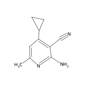 Cc1cc(C2CC2)c(C#N)c(N)n1